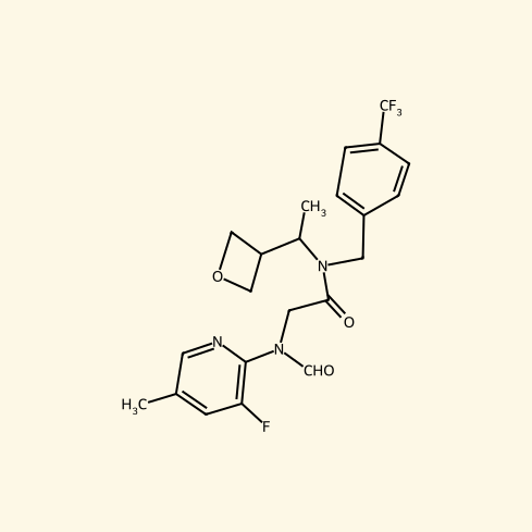 Cc1cnc(N(C=O)CC(=O)N(Cc2ccc(C(F)(F)F)cc2)C(C)C2COC2)c(F)c1